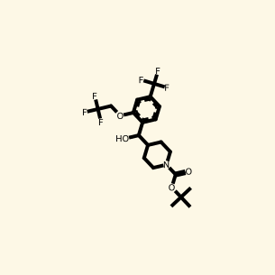 CC(C)(C)OC(=O)N1CCC(C(O)c2ccc(C(F)(F)F)cc2OCC(F)(F)F)CC1